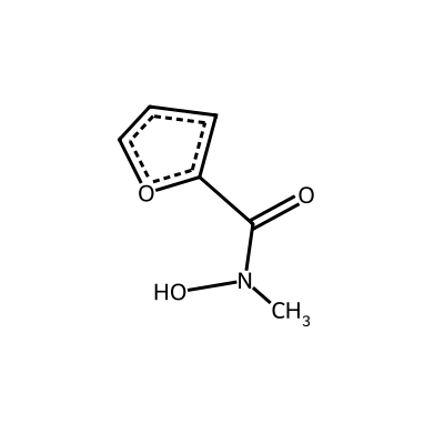 CN(O)C(=O)c1ccco1